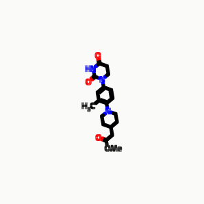 COC(=O)CC1CCN(c2ccc(N3CCC(=O)NC3=O)cc2C)CC1